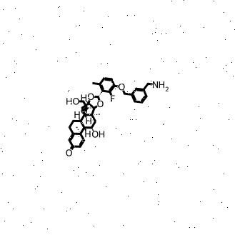 Cc1ccc(OCc2cccc(CN)c2)c(F)c1[C@H]1O[C@@H]2C[C@H]3[C@@H]4CCC5=CC(=O)C=C[C@]5(C)[C@H]4[C@@H](O)C[C@]3(C)[C@]2(C(=O)CO)O1